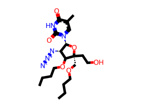 CCCCOC[C@@]1(CCO)O[C@@H](n2cc(C)c(=O)[nH]c2=O)[C@@H](N=[N+]=[N-])C1OCCCC